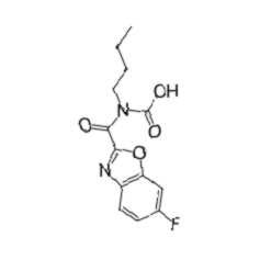 CCCCN(C(=O)O)C(=O)c1nc2ccc(F)cc2o1